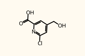 O=C(O)c1cc(CO)cc(Cl)n1